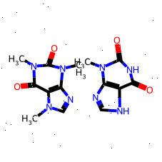 Cn1c(=O)[nH]c(=O)c2[nH]cnc21.Cn1c(=O)c2c(ncn2C)n(C)c1=O